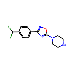 FC(F)c1ccc(-c2noc(N3CCNCC3)n2)cc1